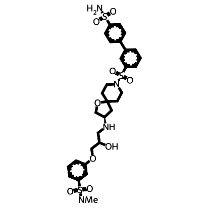 CNS(=O)(=O)c1cccc(OCC(O)CN[C@H]2COC3(CCN(S(=O)(=O)c4cccc(-c5ccc(S(N)(=O)=O)cc5)c4)CC3)C2)c1